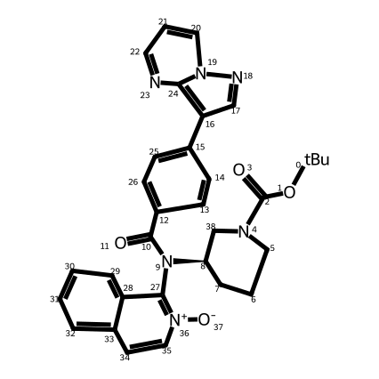 CC(C)(C)OC(=O)N1CCC[C@@H](N(C(=O)c2ccc(-c3cnn4cccnc34)cc2)c2c3ccccc3cc[n+]2[O-])C1